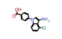 Nc1cn(-c2ccc(C(=O)O)cc2)c2cccc(Cl)c12